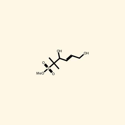 COS(=O)(=O)C(C)(C)C(O)C=CCO